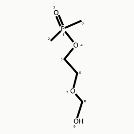 CP(C)(=O)OCCOCO